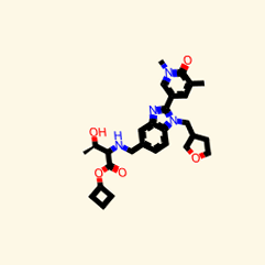 Cc1cc(-c2nc3cc(CNC(C(=O)OC4CCC4)[C@@H](C)O)ccc3n2CC2CCOC2)cn(C)c1=O